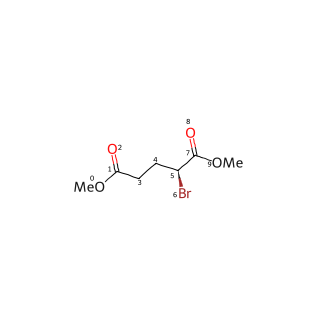 COC(=O)CC[C@H](Br)C(=O)OC